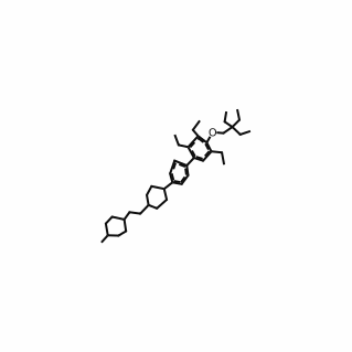 CCc1cc(-c2ccc(C3CCC(CCC4CCC(C)CC4)CC3)cc2)c(CC)c(CC)c1OCC(CC)(CC)CC